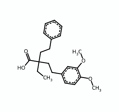 CCC(CCc1ccccc1)(CCc1ccc(OC)c(OC)c1)C(=O)O